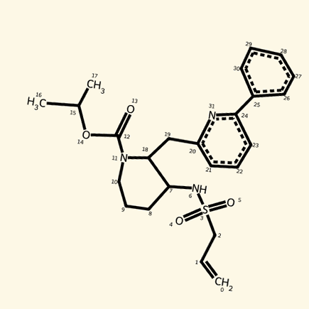 C=CCS(=O)(=O)NC1CCCN(C(=O)OC(C)C)C1Cc1cccc(-c2ccccc2)n1